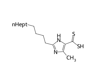 CCCCCCCCCCCc1nc(C)c(C(=S)S)[nH]1